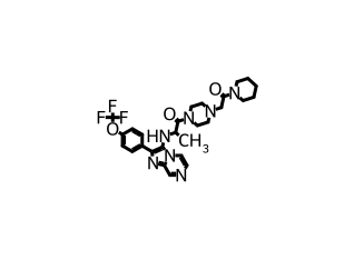 CC(Nc1c(-c2ccc(OC(F)(F)F)cc2)nc2cnccn12)C(=O)N1CCN(CC(=O)N2CCCCC2)CC1